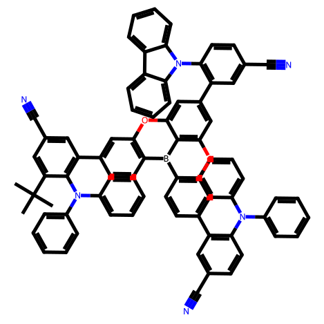 CC(C)(C)c1cc(C#N)cc(-c2ccc3c(c2)Oc2cc(-c4cc(C#N)ccc4-n4c5ccccc5c5ccccc54)cc4c2B3c2ccc(-c3cc(C#N)ccc3N(c3ccccc3)c3ccccc3)cc2O4)c1N(c1ccccc1)c1ccccc1